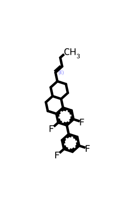 CC/C=C/C1CCC2c3cc(F)c(-c4cc(F)cc(F)c4)c(F)c3CCC2C1